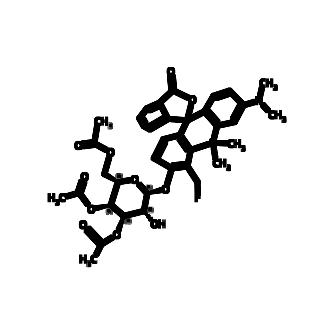 CC(=O)OC[C@H]1O[C@@H](Oc2ccc3c(c2CF)[Si](C)(C)c2cc(N(C)C)ccc2C32OC(=O)c3ccccc32)[C@H](O)[C@@H](OC(C)=O)[C@H]1OC(C)=O